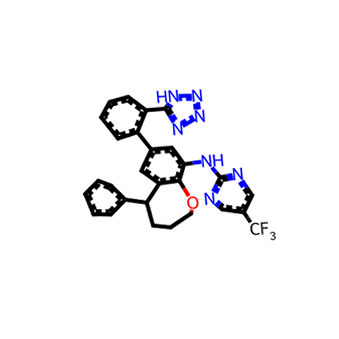 FC(F)(F)c1cnc(Nc2cc(-c3ccccc3-c3nnn[nH]3)cc3c2OCCCC3c2ccccc2)nc1